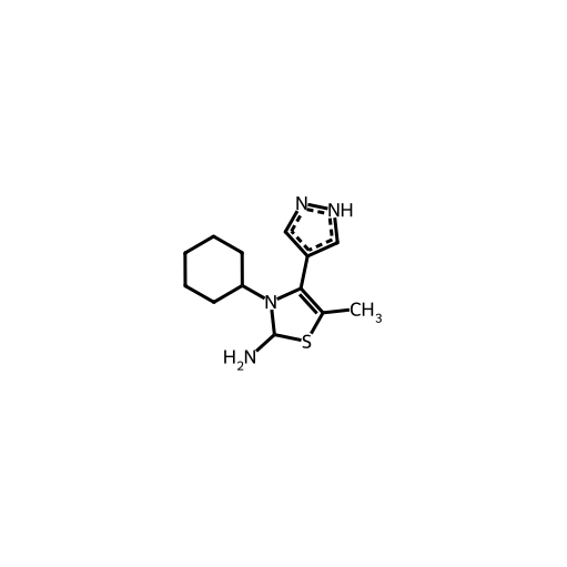 CC1=C(c2cn[nH]c2)N(C2CCCCC2)C(N)S1